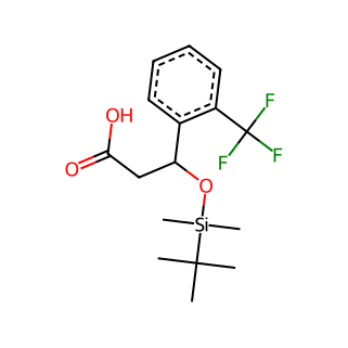 CC(C)(C)[Si](C)(C)OC(CC(=O)O)c1ccccc1C(F)(F)F